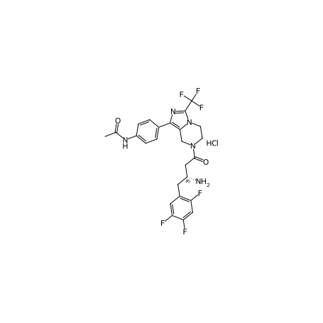 CC(=O)Nc1ccc(-c2nc(C(F)(F)F)n3c2CN(C(=O)C[C@H](N)Cc2cc(F)c(F)cc2F)CC3)cc1.Cl